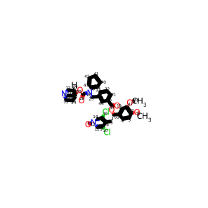 COc1ccc([C@H](Cc2c(Cl)c[n+]([O-])cc2Cl)OC(=O)c2cccc(CN(C(=O)O[C@H]3CN4CCC3CC4)c3ccccc3)c2)cc1OC